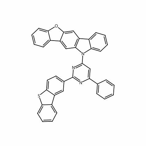 c1ccc(-c2cc(-n3c4ccccc4c4cc5oc6ccccc6c5cc43)nc(-c3ccc4sc5ccccc5c4c3)n2)cc1